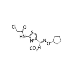 O=C(CCl)Nc1nc(C(=NOC2CCCC2)C(=O)O)cs1